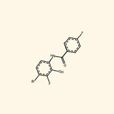 O=C(Nc1ccc(Br)c(F)c1O)c1ccc(F)cc1